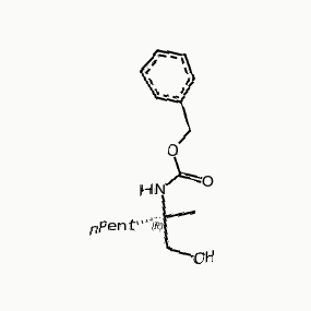 CCCCC[C@](C)(CO)NC(=O)OCc1ccccc1